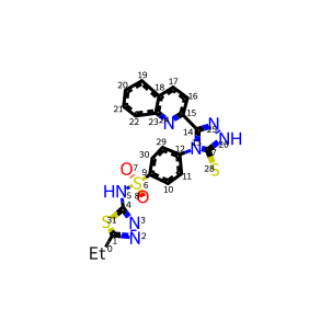 CCc1nnc(NS(=O)(=O)c2ccc(-n3c(-c4ccc5ccccc5n4)n[nH]c3=S)cc2)s1